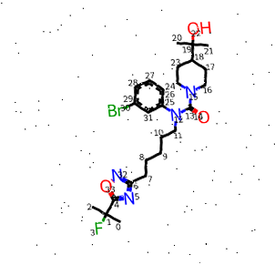 CC(C)(F)c1nc(CCCCCN(C(=O)N2CCC(C(C)(C)O)CC2)c2cccc(Br)c2)no1